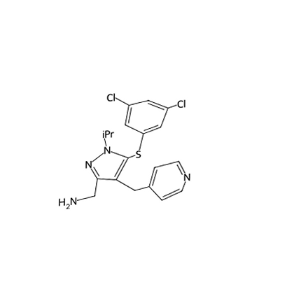 CC(C)n1nc(CN)c(Cc2ccncc2)c1Sc1cc(Cl)cc(Cl)c1